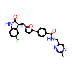 Cc1cnc(CNC(=O)c2ccc(-c3ccc(/C=C4/C(=O)Nc5ccc(F)cc54)o3)cc2)cn1